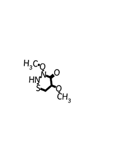 COC1CSNN(OC)C1=O